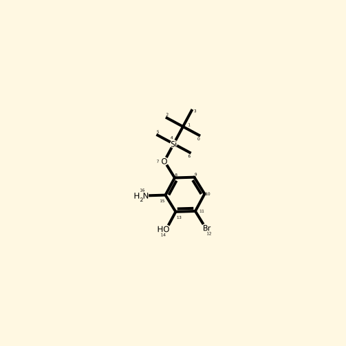 CC(C)(C)[Si](C)(C)Oc1ccc(Br)c(O)c1N